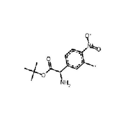 [CH2]c1cc(C(N)C(=O)OC(C)(C)C)ccc1[N+](=O)[O-]